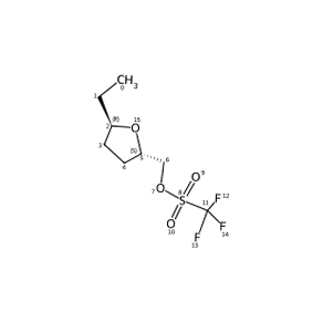 CC[C@@H]1CC[C@@H](COS(=O)(=O)C(F)(F)F)O1